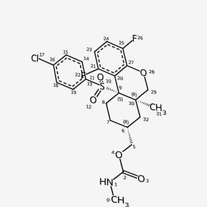 CNC(=O)OC[C@@H]1CC[C@@]2(S(=O)(=O)c3ccc(Cl)cc3)c3c(F)ccc(F)c3OC[C@@]2(C)C1